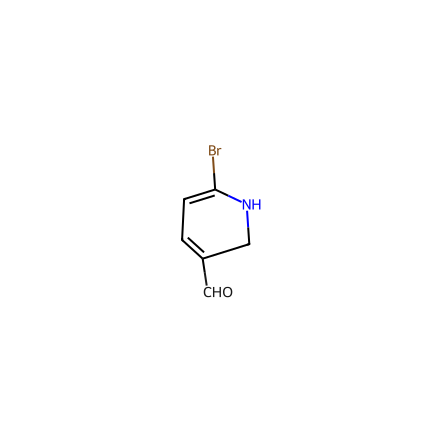 O=CC1=CC=C(Br)NC1